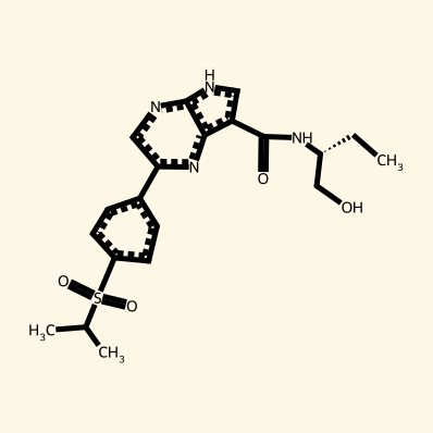 CC[C@H](CO)NC(=O)c1c[nH]c2ncc(-c3ccc(S(=O)(=O)C(C)C)cc3)nc12